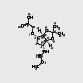 COBN[C@@H]1C[C@H](OCC(=O)O)[C@H]2OC(C)(C)O[C@H]21